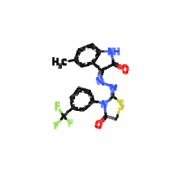 Cc1ccc2c(c1)C(=NN=C1SCC(=O)N1c1cccc(C(F)(F)F)c1)C(=O)N2